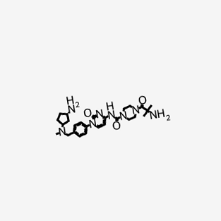 CN(Cc1ccc(-n2ccc(NC(=O)N3CCN(C(=O)C(C)(C)N)CC3)nc2=O)cc1)C1CC[C@H](N)C1